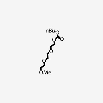 CCCCOC(=O)OCCOCCOCCOC